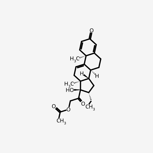 CC[C@H]1C[C@H]2[C@@H]3CCC4=CC(=O)C=C[C@]4(C)C3=CC[C@]2(C)[C@@]1(O)C(=O)COC(C)=O